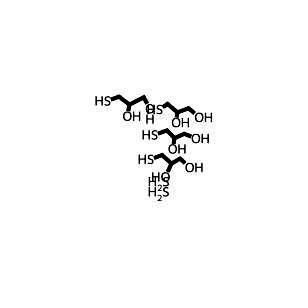 OCC(O)CS.OCC(O)CS.OCC(O)CS.OCC(O)CS.S.S